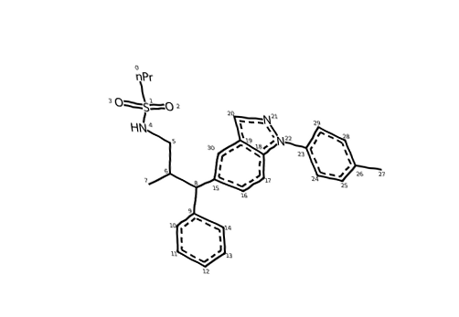 CCCS(=O)(=O)NCC(C)C(c1ccccc1)c1ccc2c(cnn2-c2ccc(C)cc2)c1